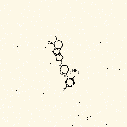 CN1CCn2c(nc3c2CN([C@H]2CO[C@H](c4cc(F)ccc4F)[C@@H](N)C2)C3)C1=O